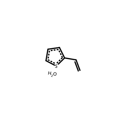 C=Cc1cccs1.O